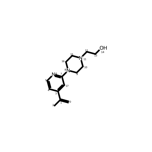 C=C(C)c1ccnc(N2CCN(CCO)CC2)c1